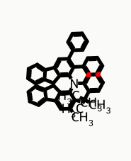 Cc1cc2c(c(N(c3ccccc3C(C)(C)C)c3c4c(cc(-c5ccccc5)c3-c3ccccc3)-c3ccccc3C4)c1C)Cc1ccccc1-2